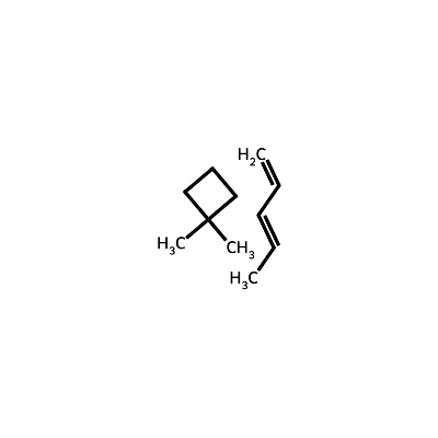 C=CC=CC.CC1(C)CCC1